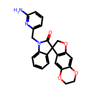 Nc1cccc(CN2C(=O)C3(COc4cc5c(cc43)OCCO5)c3ccccc32)n1